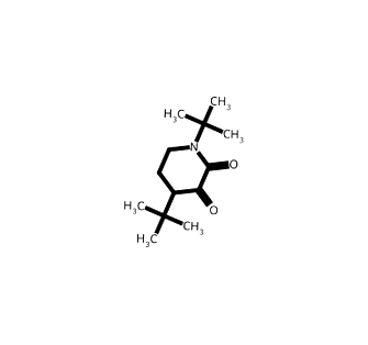 CC(C)(C)C1CCN(C(C)(C)C)C(=O)C1=O